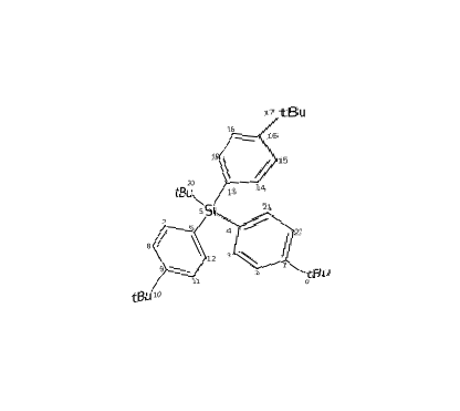 CC(C)(C)c1ccc([Si](c2ccc(C(C)(C)C)cc2)(c2ccc(C(C)(C)C)cc2)C(C)(C)C)cc1